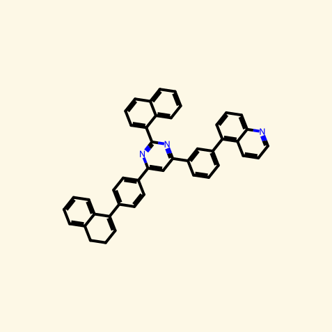 C1=C(c2ccc(-c3cc(-c4cccc(-c5cccc6ncccc56)c4)nc(-c4cccc5ccccc45)n3)cc2)c2ccccc2CC1